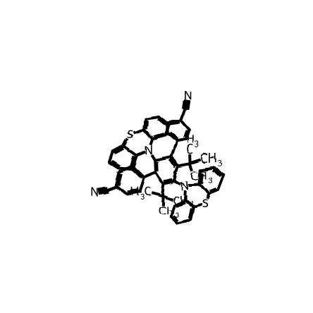 CC(C)(C)c1c(-c2ccc(C#N)cc2)c(N2c3ccccc3Sc3ccccc32)c(-c2ccc(C#N)cc2)c(C(C)(C)C)c1N1c2ccccc2Sc2ccccc21